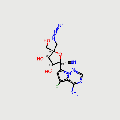 N#C[C@@]1(c2cc(F)c3c(N)ncnn23)O[C@@](CO)(CN=[N+]=[N-])[C@@H](O)[C@H]1O